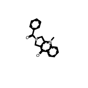 Cn1c2c(c(=O)c3ccccc31)CN(C(=O)c1ccccc1)C2